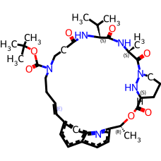 CC(C)[C@@H]1NC(=O)CCN(C(=O)OC(C)(C)C)CC/C=C/c2ccc3ccc(nc3c2)[C@@H](C)OC(=O)[C@@H]2CCCN(N2)C(=O)[C@H](C)NC1=O